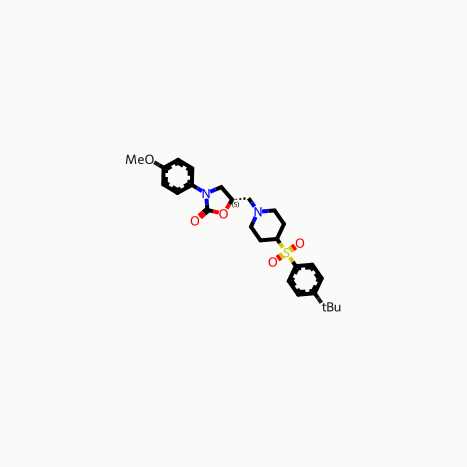 COc1ccc(N2C[C@H](CN3CCC(S(=O)(=O)c4ccc(C(C)(C)C)cc4)CC3)OC2=O)cc1